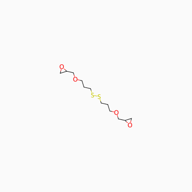 C(COCC1CO1)CSSCCCOCC1CO1